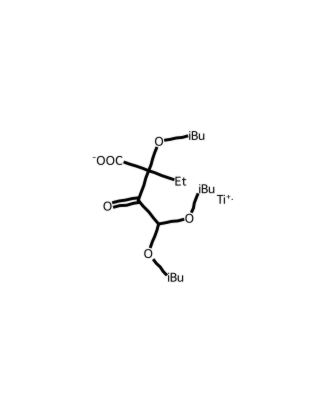 CCC(C)OC(OC(C)CC)C(=O)C(CC)(OC(C)CC)C(=O)[O-].[Ti+]